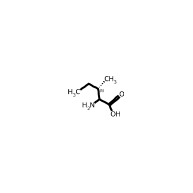 CC[C@H](C)C(N)C(=O)O